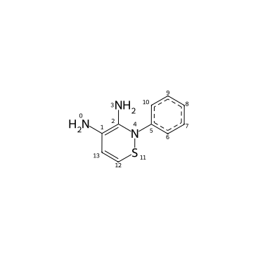 NC1=C(N)N(c2ccccc2)SC=C1